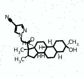 C[C@@H]1C[C@H]2[C@@H]3CC[C@@H]4C[C@](C)(O)CC[C@@H]4[C@H]3CC[C@]2(C)[C@@]1(C)C(=O)Cn1cc(C#N)cn1